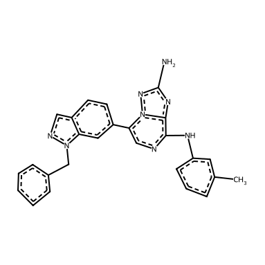 Cc1cccc(Nc2ncc(-c3ccc4cnn(Cc5ccccc5)c4c3)n3nc(N)nc23)c1